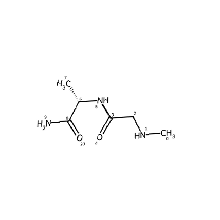 CNCC(=O)N[C@@H](C)C(N)=O